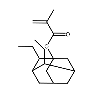 C=C(C)C(=O)OC12CC3CC(C1)C(CC)C(C3)C2CC